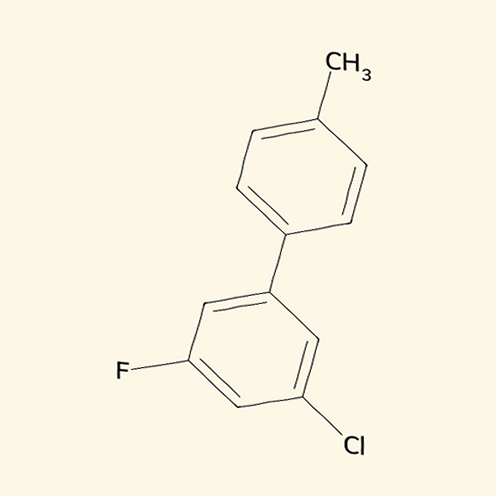 Cc1ccc(-c2cc(F)cc(Cl)c2)cc1